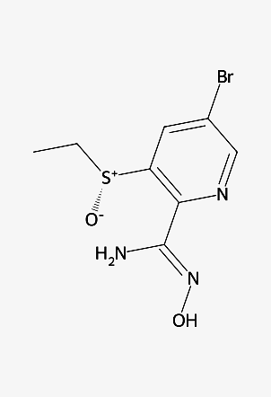 CC[S@@+]([O-])c1cc(Br)cnc1C(N)=NO